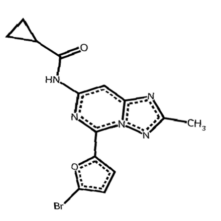 Cc1nc2cc(NC(=O)C3CC3)nc(-c3ccc(Br)o3)n2n1